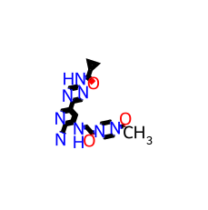 CC(=O)N1CCN(C(=O)CNc2cc(-c3cnc(NC(=O)C4CC4)cn3)cnc2C#N)CC1